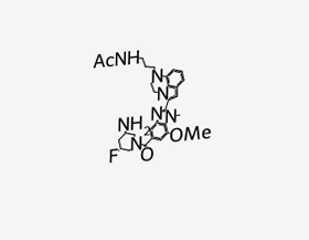 COc1cc(C(=O)N2C[C@H](N)C[C@@H](F)C2)cc2nc(-c3cc4cccc5c4n3CCN5CCCNC(C)=O)n(C)c12